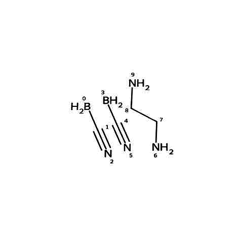 BC#N.BC#N.NCCN